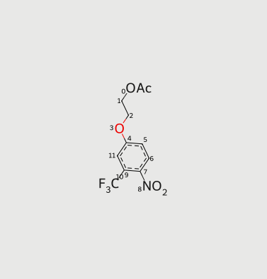 CC(=O)OCCOc1ccc([N+](=O)[O-])c(C(F)(F)F)c1